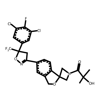 CC(C)(O)C(=O)N1CC2(C1)OCc1cc(C3=NOC(c4cc(Cl)c(F)c(Cl)c4)(C(F)(F)F)C3)ccc12